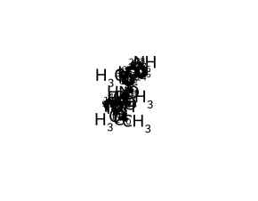 CC(C)C[C@H]1C(=O)N2CCC[C@H]2[C@]2(O)O[C@@](C)(NC(=O)[C@@H]3C=C4c5cccc6[nH]cc(c56)C[C@H]4N(C)C3)C(=O)N12